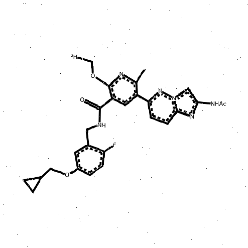 [2H]COc1nc(C)c(-c2ccc3nc(NC(C)=O)cn3n2)cc1C(=O)NCc1cc(OCC2CC2)ccc1F